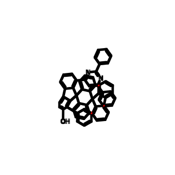 Oc1ccc2c(c1-c1ccccc1)C1(c3ccccc3C3(c4ccccc4-c4ccccc43)c3ccccc31)c1c(-c3cc(-c4ccccc4)nc(-c4ccccc4)n3)cccc1-2